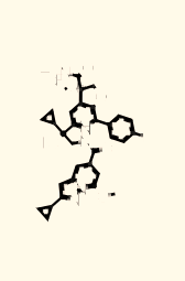 COc1cc(C(=O)NCC(O)(c2cc3c(c(-c4ccc(F)cc4)n2)OC[C@]3(CF)C(N)=O)C2CC2)cc2cc(C3CC3)nn12